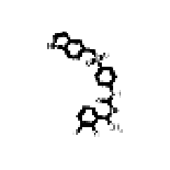 CC(NC(=O)Nc1ccc(S(=O)(=O)Cc2ccc3[nH]ccc3c2)cc1)c1cccc(Cl)c1Cl